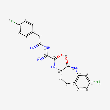 N=C(Cc1ccc(F)cc1)NC(=N)C(=O)N[C@H]1CCc2ccc(Cl)cc2NC1=O